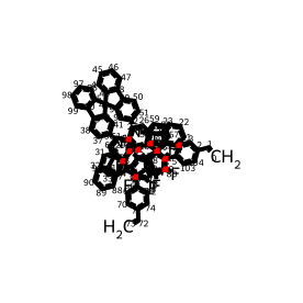 C=Cc1ccc(CC2(c3c(F)c(F)c(F)c(F)c3F)c3ccccc3-c3ccc(N(c4ccccc4)c4ccc5c(c4)C4(c6ccccc6-c6ccc(N(c7ccccc7)c7ccc8c(c7)C(C(c7ccc(C=C)cc7)c7c(F)c(F)c(F)c(F)c7F)c7ccccc7-8)cc64)c4ccccc4-5)cc32)cc1